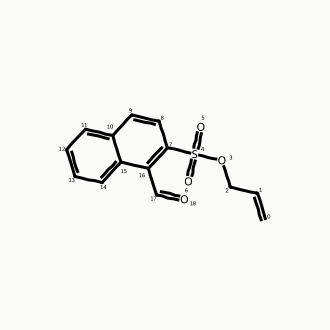 C=CCOS(=O)(=O)c1ccc2ccccc2c1C=O